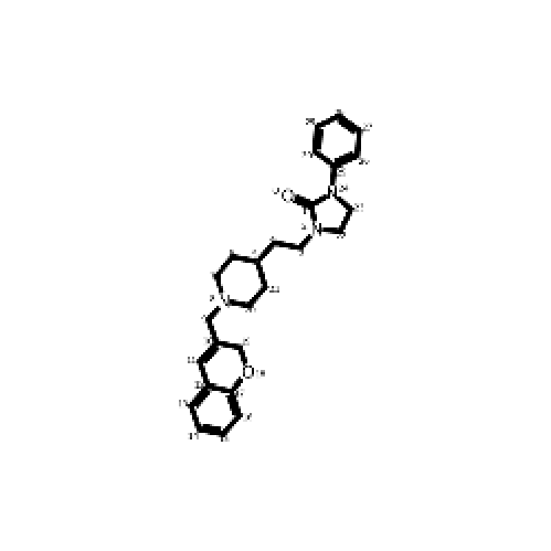 O=C1N(CCC2CCN(CC3=Cc4ccccc4OC3)CC2)CCN1c1ccccc1